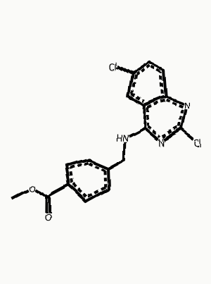 COC(=O)c1ccc(CNc2nc(Cl)nc3ccc(Cl)cc23)cc1